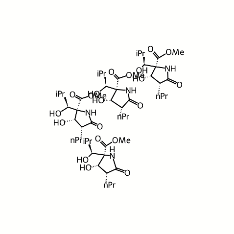 CCC[C@H]1C(=O)N[C@](C(=O)OC)([C@@H](O)C(C)C)[C@H]1O.CCC[C@H]1C(=O)N[C@](C(=O)OC)([C@@H](O)C(C)C)[C@H]1O.CCC[C@H]1C(=O)N[C@](C(=O)OC)([C@@H](O)C(C)C)[C@H]1O.CCC[C@H]1C(=O)N[C@](C(=O)OC)([C@@H](O)C(C)C)[C@H]1O